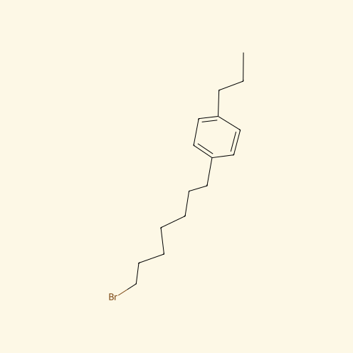 CCCc1ccc(CCCCCCCBr)cc1